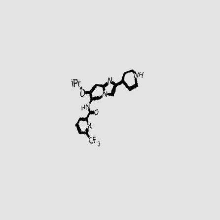 CC(C)Oc1cc2nc(C3CCNCC3)cn2cc1NC(=O)c1cccc(C(F)(F)F)n1